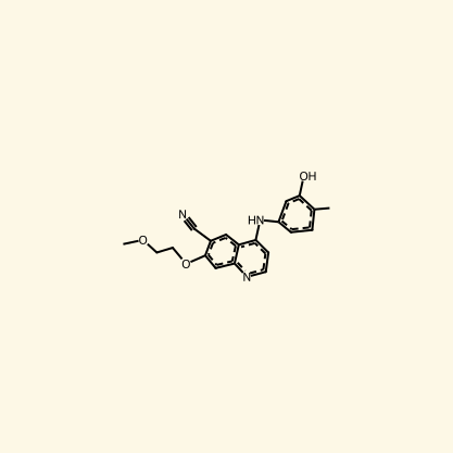 COCCOc1cc2nccc(Nc3ccc(C)c(O)c3)c2cc1C#N